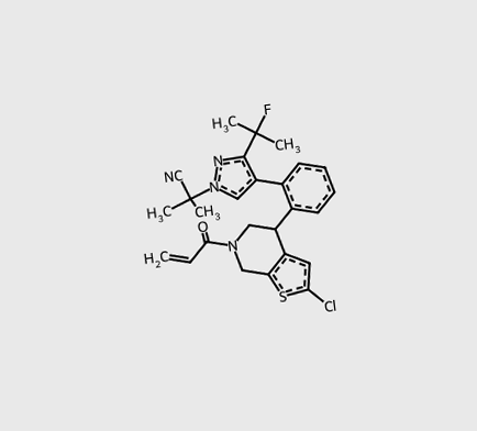 C=CC(=O)N1Cc2sc(Cl)cc2C(c2ccccc2-c2cn(C(C)(C)C#N)nc2C(C)(C)F)C1